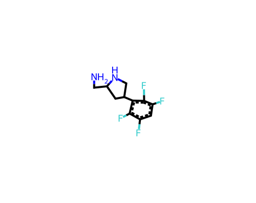 NCC1CC(c2c(F)c(F)cc(F)c2F)CN1